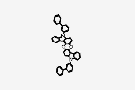 c1ccc(-c2cccc(-n3c4ccccc4c4c5c(ccc43)Oc3c(ccc4c3c3ccccc3n4-c3cccc(-c4ccccc4)c3)O5)c2)cc1